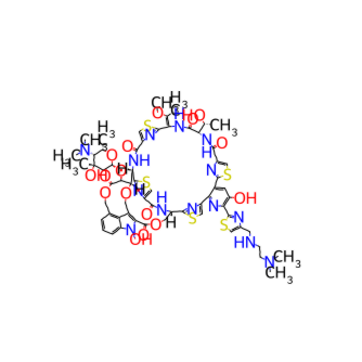 CO/C(C)=C1/NC(=O)[C@H]([C@@H](C)O)NC(=O)c2csc(n2)-c2cc(O)c(-c3nc(CNCCN(C)C)cs3)nc2-c2csc(n2)[C@@H]2COC(=O)c3c4c5c(cccc5n3O)COC(=O)[C@@H](O[C@H]3C[C@](C)(O)[C@H](N(C)C)[C@H](C)O3)[C@@H](OC4)[C@H](NC(=O)c3csc1n3)c1nc(cs1)C(=O)N2